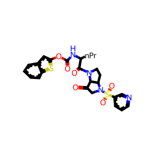 CCCC(NC(=O)Oc1cc2ccccc2s1)C(=O)N1CCC2C1C(=O)CN2S(=O)(=O)c1cccnc1